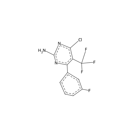 Nc1nc(Cl)c(C(F)(F)F)c(-c2cccc(F)c2)n1